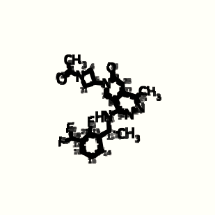 CC(=O)N1CC(n2cc3c(N[C@H](C)c4cccc(C(F)F)c4F)nnc(C)c3cc2=O)C1